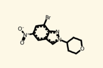 O=[N+]([O-])c1cc(Br)c2nn(C3CCOCC3)cc2c1